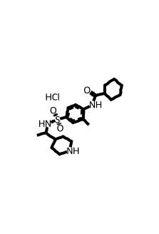 Cc1cc(S(=O)(=O)NC(C)C2CCNCC2)ccc1NC(=O)C1CCCCC1.Cl